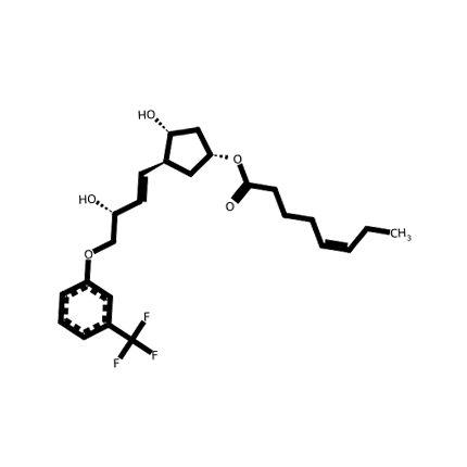 CC/C=C\CCCC(=O)O[C@H]1C[C@@H](O)[C@H](/C=C/[C@@H](O)COc2cccc(C(F)(F)F)c2)C1